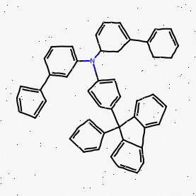 C1=CCCC(C2=CC=CC(N(c3ccc(C4(c5ccccc5)c5ccccc5-c5ccccc54)cc3)c3cccc(-c4ccccc4)c3)C2)=C1